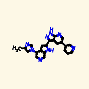 Cc1cn(-c2cncc3[nH]c(-c4n[nH]c5ncc(-c6cccnc6)cc45)cc23)cn1